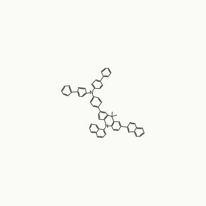 CC1(C)c2cc(-c3ccc(N(c4ccc(-c5ccccc5)cc4)c4ccc(-c5ccccc5)cc4)cc3)ccc2N(c2cccc3ccccc23)c2ccc(-c3ccc4ccccc4c3)cc21